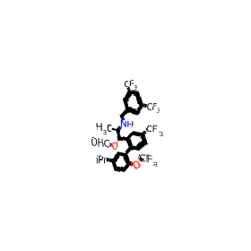 CC(C)c1ccc(OC(F)(F)F)c(-c2ccc(C(F)(F)F)cc2[C@@H](OC=O)[C@@H](C)NCc2cc(C(F)(F)F)cc(C(F)(F)F)c2)c1